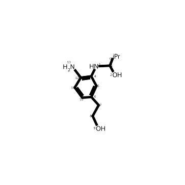 CC(C)C(O)Nc1cc(CCO)ccc1N